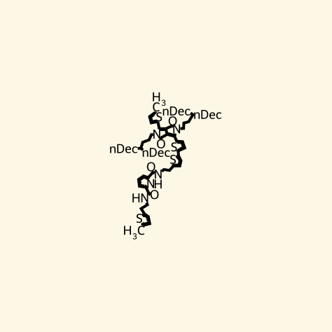 CCCCCCCCCCC(CCCCCCCCCC)CCCN1C(=O)C2=C(c3ccc(-c4ccc(CCNC(=O)c5cccc(C(=O)NCCc6ccc(C)s6)n5)s4)s3)N(CCCC(CCCCCCCCCC)CCCCCCCCCC)C(=O)C2=C1c1ccc(C)s1